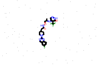 CC(CONC(=O)CC1CCN(c2ncc3cc(F)ccc3n2)CC1)Nc1cn[nH]c(=O)c1C(F)(F)F